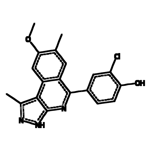 COc1cc2c(cc1C)c(-c1ccc(O)c(Cl)c1)nc1[nH]nc(C)c12